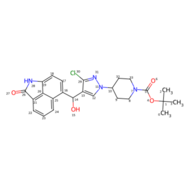 CC(C)(C)OC(=O)N1CCC(n2cc(C(O)c3ccc4c5c(cccc35)C(=O)N4)c(Cl)n2)CC1